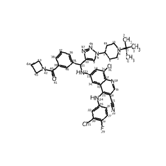 CC(C)(C)N1CCC(n2cc(C(Nc3cc(Cl)c4ncc(C#N)c(Nc5ccc(F)c(Cl)c5)c4c3)c3cccc(C(=O)N4CCC4)c3)nn2)CC1